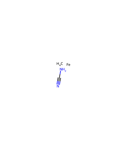 C.N#CN.[Fe]